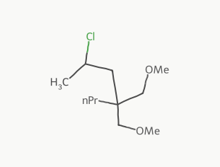 CCCC(COC)(COC)CC(C)Cl